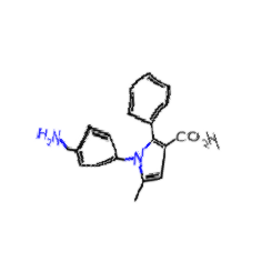 Cc1cc(C(=O)O)c(-c2ccccc2)n1-c1ccc(N)cc1